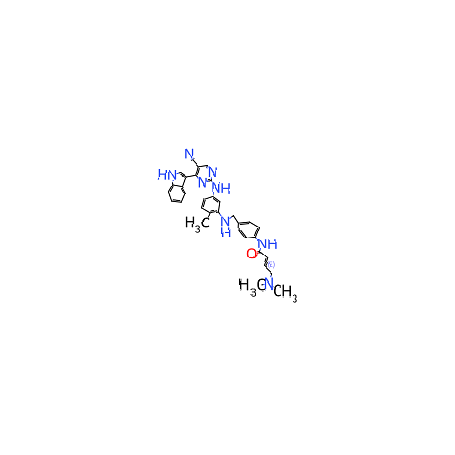 Cc1ccc(Nc2ncc(C#N)c(-c3c[nH]c4ccccc34)n2)cc1NCc1ccc(NC(=O)/C=C/CN(C)C)cc1